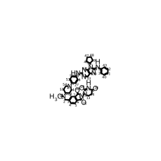 CN(Cc1ccc2c(c1)C(=O)N(N1CCC(=O)NC1=O)C2=O)C1CCN(c2ccc(Nc3ncc4nc(Nc5ccccc5)n(C5CCCC5)c4n3)cc2)CC1